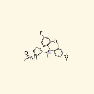 COc1ccc2c(c1)COc1cc(F)ccc1/C2=C(/C)c1cccc(N[S+](C)[O-])c1